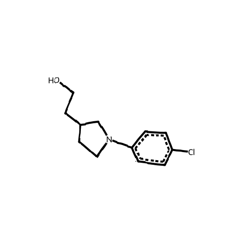 OCCC1CCN(c2[c]cc(Cl)cc2)C1